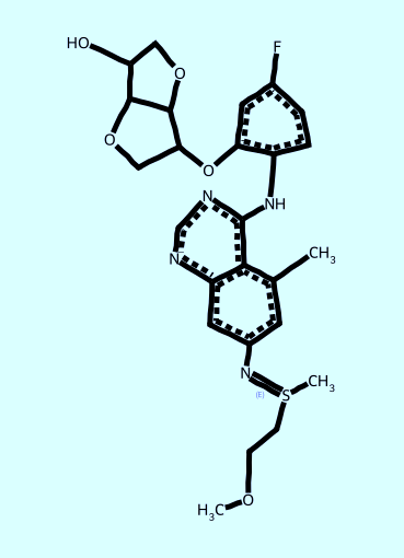 COCC/S(C)=N/c1cc(C)c2c(Nc3ccc(F)cc3OC3COC4C(O)COC34)ncnc2c1